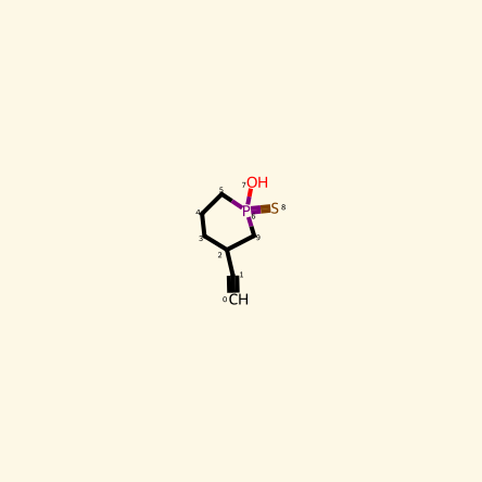 C#CC1CCCP(O)(=S)C1